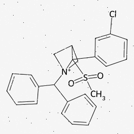 CS(=O)(=O)C1(c2cccc(Cl)c2)C2C[N+]1(C(c1ccccc1)c1ccccc1)C2